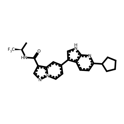 C[C@@H](NC(=O)c1cnn2ccc(-c3c[nH]c4nc(C5CCCC5)ccc34)cc12)C(F)(F)F